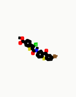 COC(=O)c1ccc2c(Cl)c(C(=O)N(C)c3ccc4sc5ccc(Br)cc5c(=O)c4c3)sc2c1